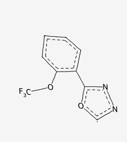 FC(F)(F)Oc1ccccc1-c1nn[c]o1